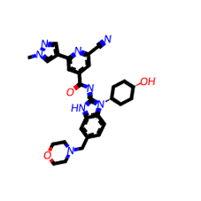 Cn1cc(-c2cc(C(=O)/N=c3\[nH]c4cc(CN5CCOCC5)ccc4n3[C@H]3CC[C@@H](O)CC3)cc(C#N)n2)cn1